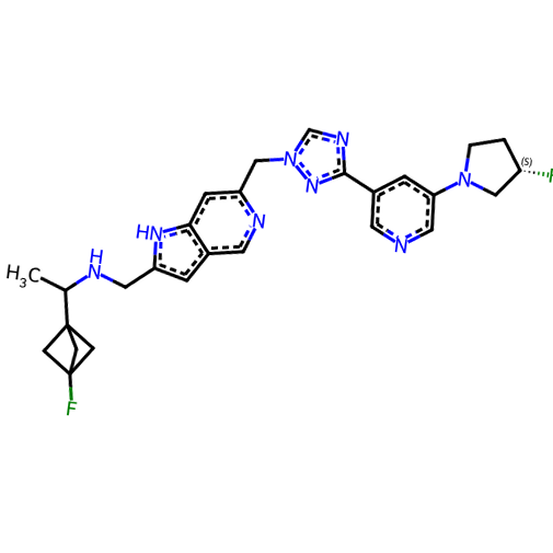 CC(NCc1cc2cnc(Cn3cnc(-c4cncc(N5CC[C@H](F)C5)c4)n3)cc2[nH]1)C12CC(F)(C1)C2